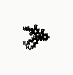 Cl.Cl.NCCCCNC1(NCCCCN)c2ccccc2C(=O)N1C1CC(=O)NC(=O)C1